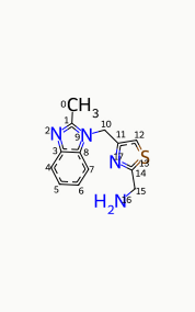 Cc1nc2ccccc2n1Cc1csc(CN)n1